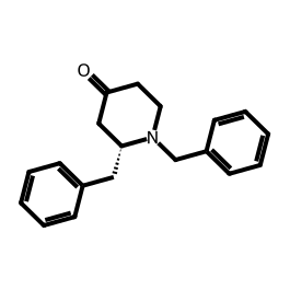 O=C1CCN(Cc2ccccc2)[C@H](Cc2ccccc2)C1